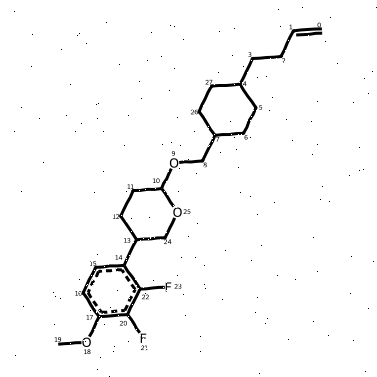 C=CCCC1CCC(COC2CCC(c3ccc(OC)c(F)c3F)CO2)CC1